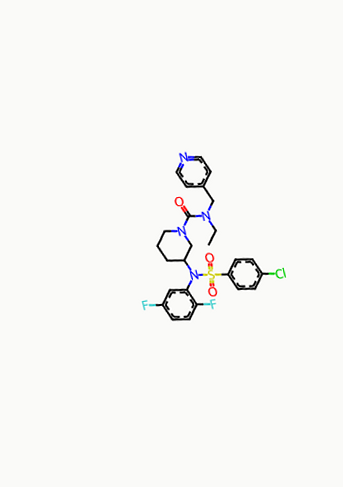 CCN(Cc1ccncc1)C(=O)N1CCCC(N(c2cc(F)ccc2F)S(=O)(=O)c2ccc(Cl)cc2)C1